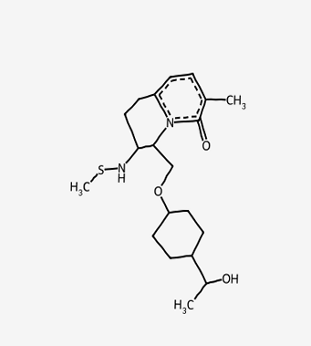 CSNC1CCc2ccc(C)c(=O)n2C1COC1CCC(C(C)O)CC1